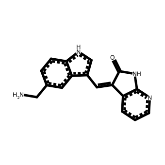 NCc1ccc2[nH]cc(C=C3C(=O)Nc4ncccc43)c2c1